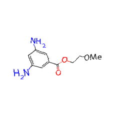 COCCOC(=O)c1cc(N)cc(N)c1